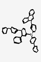 c1ccc(-c2ccc(-c3ccc(N(c4ccc(-c5ccccc5)cc4)c4cccc(-c5cc6ccccc6c6ccccc56)c4)cc3-c3ccccc3)cc2)cc1